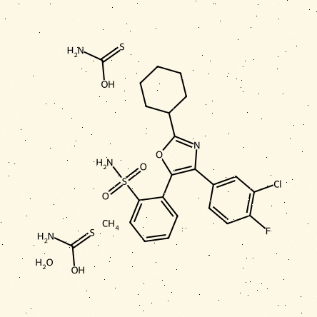 C.NC(O)=S.NC(O)=S.NS(=O)(=O)c1ccccc1-c1oc(C2CCCCC2)nc1-c1ccc(F)c(Cl)c1.O